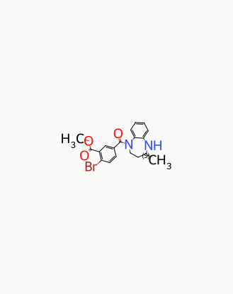 COC(=O)c1cc(C(=O)N2CC[C@H](C)Nc3ccccc32)ccc1Br